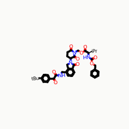 CC(C)[C@@H](NC(=O)OCc1ccccc1)C(=O)OCN1C(=O)CCC(N2Cc3c(CNC(=O)C(=O)c4ccc(C(C)(C)C)cc4)cccc3C2=O)C1=O